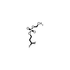 CCOS(=O)(=O)OCCC(F)F